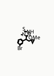 COC1(CC(c2cccc(Br)c2)c2n[nH]c(=S)n2C)CC1